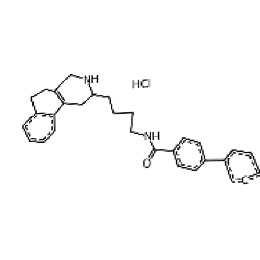 Cl.O=C(NCCCCC1CC2=C(CCc3ccccc32)CN1)c1ccc(-c2ccccc2)cc1